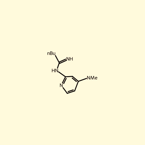 CCCCC(=N)Nc1cc(NC)ccn1